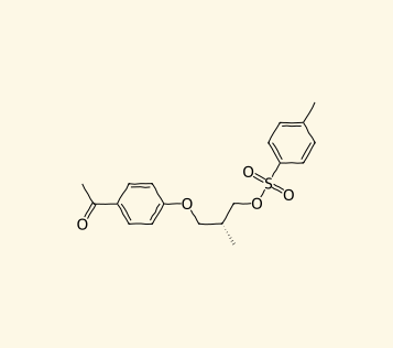 CC(=O)c1ccc(OC[C@@H](C)COS(=O)(=O)c2ccc(C)cc2)cc1